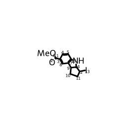 COC(=O)c1ccc2c(c1)C1CCC(I)C1N2